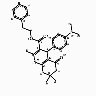 CC1=C(C(=O)OCCc2ccccc2)C(c2ccc(N(C)C)cc2)C2=C(CC(C)(C)CC2=O)N1